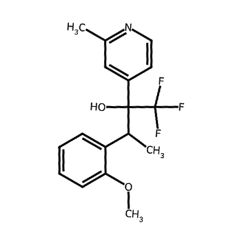 COc1ccccc1C(C)C(O)(c1ccnc(C)c1)C(F)(F)F